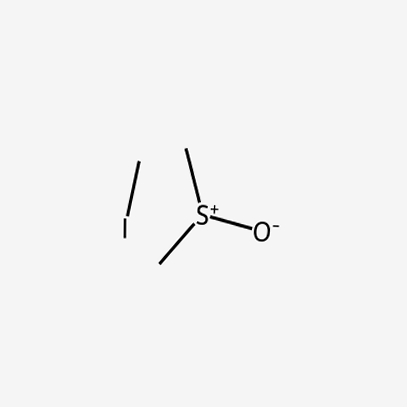 CI.C[S+](C)[O-]